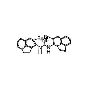 N=C(Nc1c(Br)cc2cccc3c2c1C=C3)Nc1c(Br)cc2cccc3c2c1C=C3